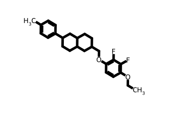 CCOc1ccc(OCC2CCC3CC(c4ccc(C)cc4)CCC3C2)c(F)c1F